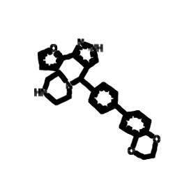 c1coc(-c2n[nH]cc2C(c2ccc(-c3ccc4c(c3)OCCO4)cc2)N2CCNCC2)c1